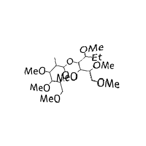 CCC(OC)C(OC1OC(COC)C(OC)C(OC)C1C)C(OC)C(COC)OC